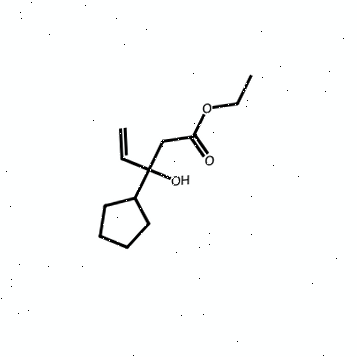 C=CC(O)(CC(=O)OCC)C1CCCC1